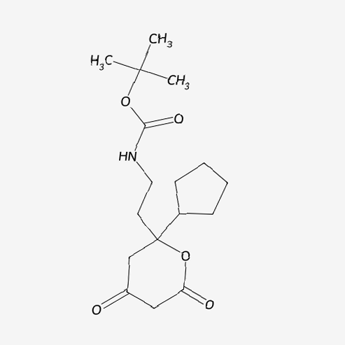 CC(C)(C)OC(=O)NCCC1(C2CCCC2)CC(=O)CC(=O)O1